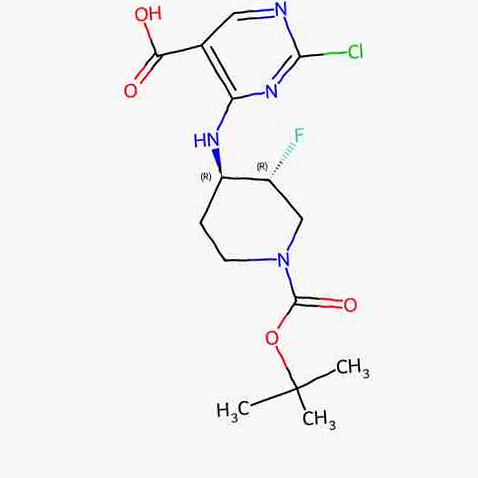 CC(C)(C)OC(=O)N1CC[C@@H](Nc2nc(Cl)ncc2C(=O)O)[C@H](F)C1